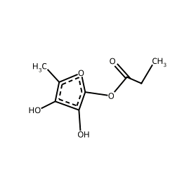 CCC(=O)Oc1oc(C)c(O)c1O